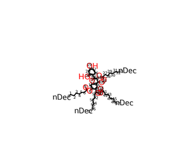 CCCCCCCCCCCCCCCCC(=O)Oc1cc2oc(-c3ccc(O)cc3O)c(OC(=O)CCCCCCCCCCCCCCCC)c(=O)c2c(OC(=O)CCCCCCCCCCCCCCCC)c1C(=O)CCCCCCCCCCCCCCCC